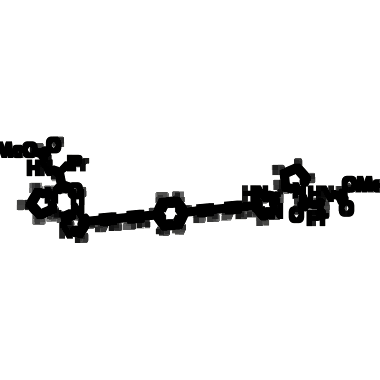 COC(=O)N[C@H](C(=O)N1CCC[C@H]1c1ncc(C#CC#Cc2ccc(C#CC#Cc3cnc([C@@H]4CCCN4C(=O)[C@@H](NC(=O)OC)C(C)C)[nH]3)cc2)[nH]1)C(C)C